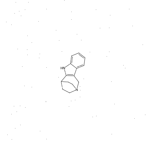 c1ccc2c3c([nH]c2c1)C1CCN(CC1)C3